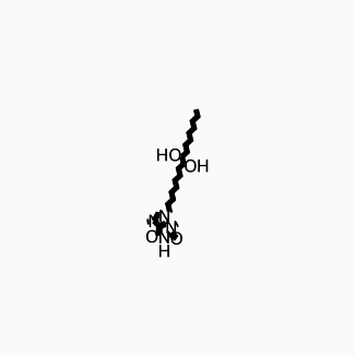 CCCCCCCCC(O)C(O)CCCCCCCCN1CN(C)c2c1n(C)c(=O)[nH]c2=O